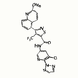 COc1ccc2c(-c3nsc(C(=O)Nc4cnc(-n5nccn5)c(Cl)c4)c3C(F)(F)F)cccc2n1